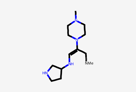 CNC/C(=C\NC1CCNC1)N1CCN(C)CC1